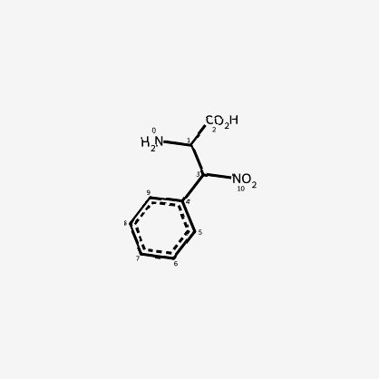 NC(C(=O)O)C(c1ccccc1)[N+](=O)[O-]